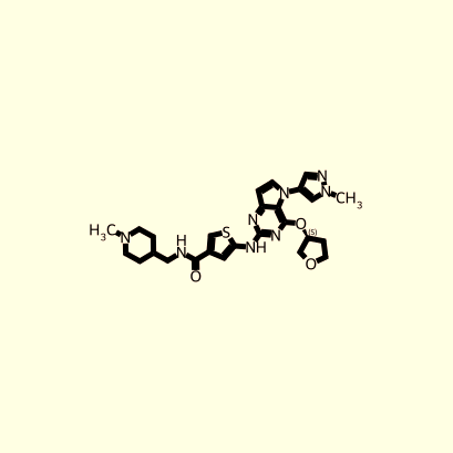 CN1CCC(CNC(=O)c2csc(Nc3nc(O[C@H]4CCOC4)c4c(ccn4-c4cnn(C)c4)n3)c2)CC1